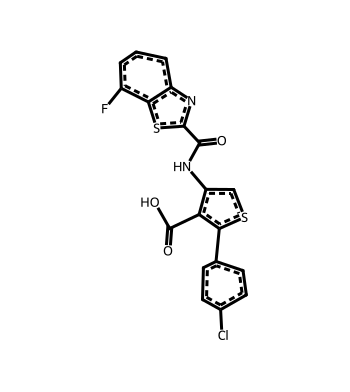 O=C(Nc1csc(-c2ccc(Cl)cc2)c1C(=O)O)c1nc2cccc(F)c2s1